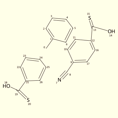 Cc1ccccc1.N#Cc1ccc(C(O)=S)cc1.OC(=S)c1ccccc1